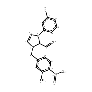 Cc1cc(CN2C=NN(c3cccc(F)c3)C2C=O)ccc1[N+](=O)[O-]